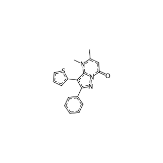 Cc1cc(=O)n2nc(-c3ccccc3)c(-c3cccs3)c2n1C